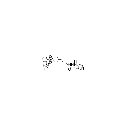 O=C(NCCCCC1CCN(S(=O)(=O)c2ccccc2OC(F)(F)F)CC1)C1Cc2cnccc2N1